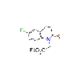 CCOC(=O)CN1C(=S)CCc2cc(F)ccc21